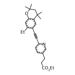 CCOC(=O)CCc1ccc(C#Cc2cc3c(cc2CC)OC(C)(C)CC3(C)C)nc1